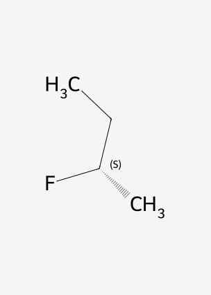 CC[C@H](C)F